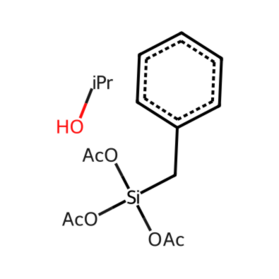 CC(=O)O[Si](Cc1ccccc1)(OC(C)=O)OC(C)=O.CC(C)O